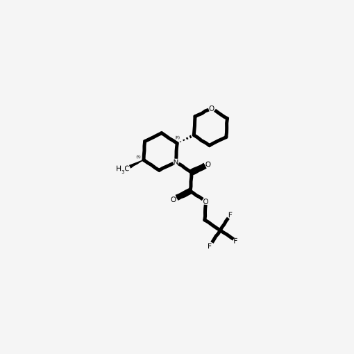 C[C@H]1CC[C@H](C2CCCOC2)N(C(=O)C(=O)OCC(F)(F)F)C1